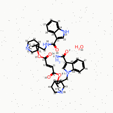 NC(=O)c1cn(CC2(OC(=O)/C=C/C(=O)OC3(CNC(=O)c4c[nH]c5ccccc45)CN4CCC3CC4)CN3CCC2CC3)c2ccccc12.O